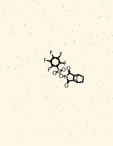 O=C1C2C3CCC(O3)C2C(=O)N1OS(=O)(=O)c1c(F)c(F)c(F)c(F)c1F